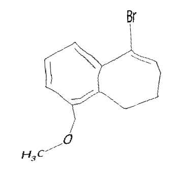 COc1cccc2c1CCC=C2Br